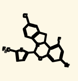 Fc1cc(Br)cc2c1C1Cc3cc(Cl)ccc3N1C(c1ccc(C(F)(F)F)s1)O2